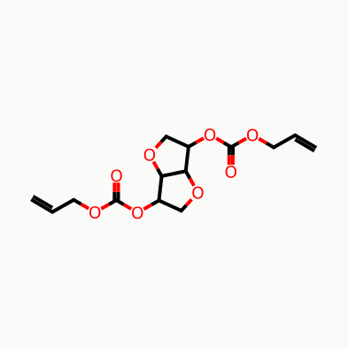 C=CCOC(=O)OC1COC2C(OC(=O)OCC=C)COC12